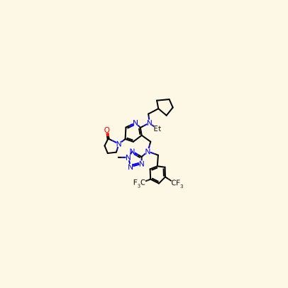 CCN(CC1CCCC1)c1ncc(N2CCCC2=O)cc1CN(Cc1cc(C(F)(F)F)cc(C(F)(F)F)c1)c1nnn(C)n1